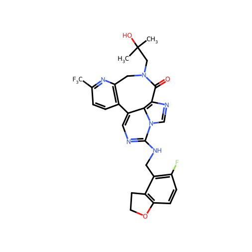 CC(C)(O)CN1Cc2nc(C(F)(F)F)ccc2-c2cnc(NCc3c(F)ccc4c3CCO4)n3cnc(c23)C1=O